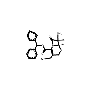 CC(=O)OCC1=C(C(=O)OC(c2ccccc2)c2ccccc2)N2C(=O)[C@](C)(N)[C@H]2SC1